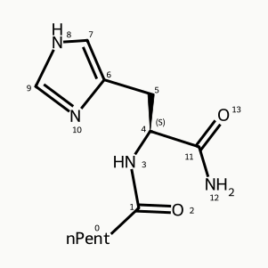 CCCCCC(=O)N[C@@H](Cc1c[nH]cn1)C(N)=O